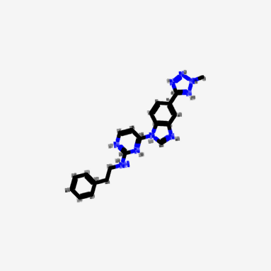 Cn1nnc(-c2ccc3c(c2)ncn3-c2ccnc(NCCc3ccccc3)n2)n1